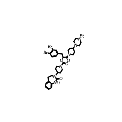 CCN1CCN(C2CCN(C(=O)C(Cc3ccc(Br)c(Br)c3)OC(=O)N3CCC(N4CCc5ccccc5NC4=O)CC3)CC2)CC1